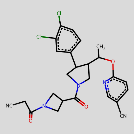 CC(Oc1ccc(C#N)cn1)C1CN(C(=O)C2CN(C(=O)CC#N)C2)CC1c1ccc(Cl)c(Cl)c1